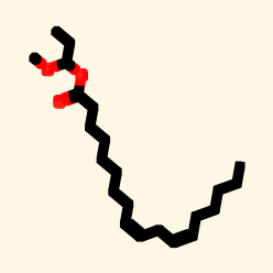 CCCCC/C=C\C/C=C\CCCCCCCC(=O)OC(CC)OC